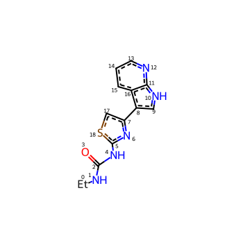 CCNC(=O)Nc1nc(-c2c[nH]c3ncccc23)cs1